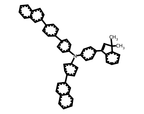 CC1(C)C=C(c2ccc(N(c3ccc(-c4ccc(-c5ccc6ccccc6c5)cc4)cc3)c3ccc(-c4ccc5ccccc5c4)cc3)cc2)c2ccccc21